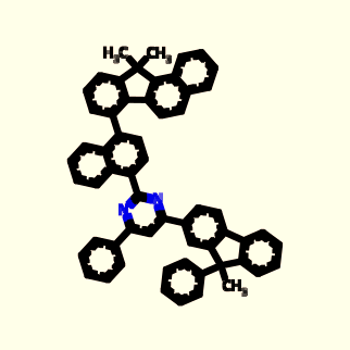 CC1(C)c2cccc(-c3ccc(-c4nc(-c5ccccc5)cc(-c5ccc6c(c5)C(C)(c5ccccc5)c5ccccc5-6)n4)c4ccccc34)c2-c2ccc3ccccc3c21